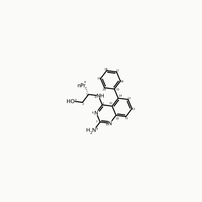 CCC[C@@H](CO)Nc1nc(N)nc2cccc(-c3ccccc3)c12